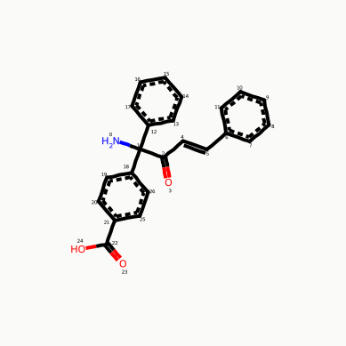 NC(C(=O)/C=C/c1ccccc1)(c1ccccc1)c1ccc(C(=O)O)cc1